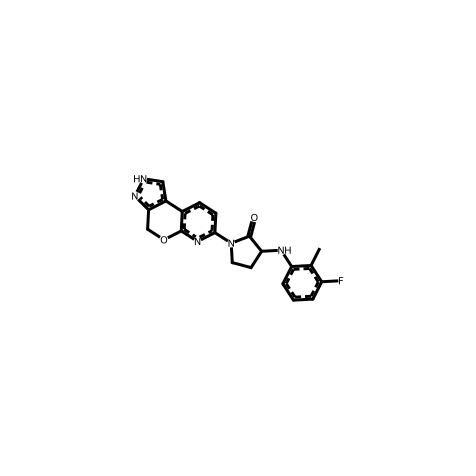 Cc1c(F)cccc1NC1CCN(c2ccc3c(n2)OCc2n[nH]cc2-3)C1=O